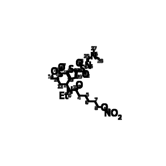 CCN(C(=O)CCCCCO[N+](=O)[O-])C1CC(C)S(=O)(=O)c2sc(S(=O)(=O)/N=C/N(C)C)cc21